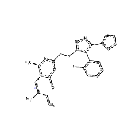 C=C/C(C)=C\n1c(C)nc(CSc2nnc(-c3cccs3)n2-c2ccccc2F)cc1=O